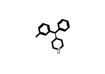 Cc1cccc([C@@H](c2ccccc2)C2CCNCC2)c1